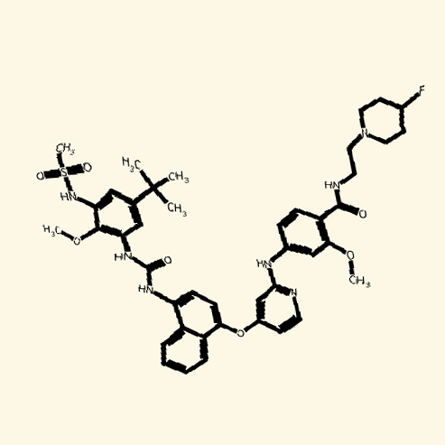 COc1cc(Nc2cc(Oc3ccc(NC(=O)Nc4cc(C(C)(C)C)cc(NS(C)(=O)=O)c4OC)c4ccccc34)ccn2)ccc1C(=O)NCCN1CCC(F)CC1